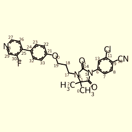 CC1(C)C(=O)N(c2ccc(C#N)c(Cl)c2)C(=O)N1CCCOc1ccc(-c2ccncc2F)cc1